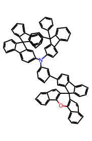 c1ccc(C2(c3ccccc3)c3ccccc3-c3ccc(N(c4cccc(-c5ccc6c(c5)C5(c7ccccc7-6)c6ccc7ccccc7c6Oc6c5ccc5ccccc65)c4)c4ccc5c(c4)C4(c6ccccc6-c6ccccc64)c4ccccc4-5)cc32)cc1